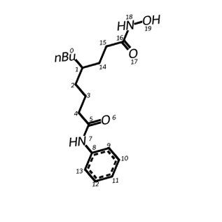 CCCCC(CCCC(=O)Nc1ccccc1)CCC(=O)NO